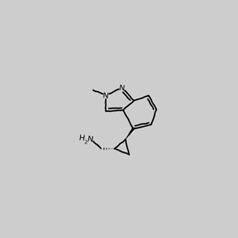 Cn1cc2c([C@H]3C[C@@H]3CN)cccc2n1